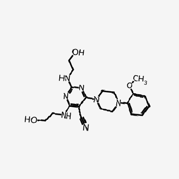 COc1ccccc1N1CCN(c2nc(NCCO)nc(NCCO)c2C#N)CC1